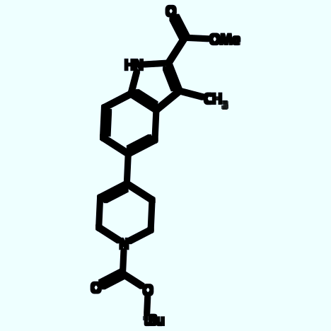 COC(=O)c1[nH]c2ccc(C3=CCN(C(=O)OC(C)(C)C)CC3)cc2c1C